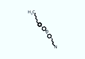 CCCCCCCc1ccc([C@H]2CC[C@H](OC[C@H]3CC[C@H](CCC=CC#N)CC3)CC2)cc1